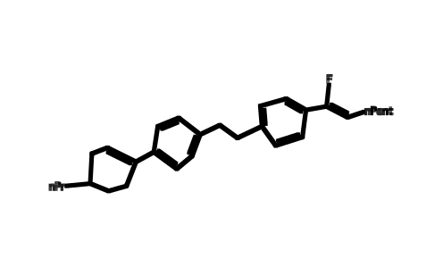 CCCCCC=C(F)c1ccc(CCc2ccc(C3=CCC(CCC)CC3)cc2)cc1